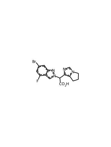 O=C(O)C(c1ncn2c1CCC2)n1cc2c(F)cc(Br)cc2n1